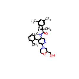 Cc1ccccc1-c1cc(N2CCOC(CO)C2)ncc1N(C)C(=O)C(C)(C)c1cc(C(F)(F)F)cc(C(F)(F)F)c1